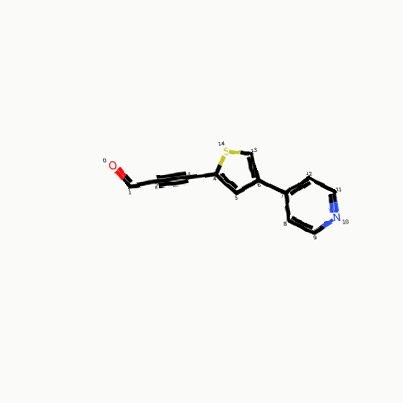 O=CC#Cc1cc(-c2ccncc2)cs1